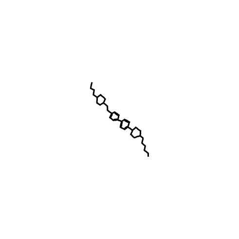 CCCCCCC1CCC(c2ccc(-c3ccc(CCC4CCC(CCCC)CC4)cc3)cc2)CC1